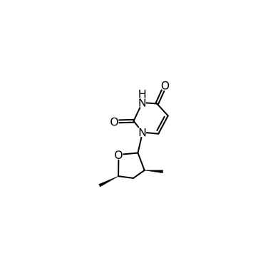 C[C@@H]1C[C@H](C)C(n2ccc(=O)[nH]c2=O)O1